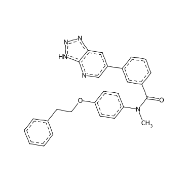 CN(C(=O)c1cccc(-c2cnc3[nH]nnc3c2)c1)c1ccc(OCCc2ccccc2)cc1